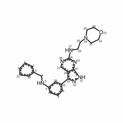 c1ccc(CNc2cccc(-c3n[nH]c4nc(NCCN5CCOCC5)ncc34)c2)cc1